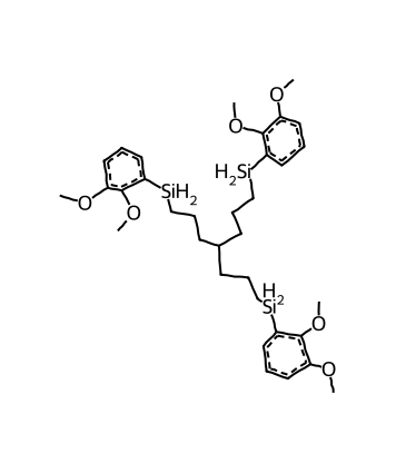 COc1cccc([SiH2]CCCC(CCC[SiH2]c2cccc(OC)c2OC)CCC[SiH2]c2cccc(OC)c2OC)c1OC